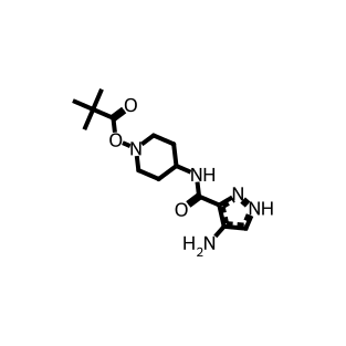 CC(C)(C)C(=O)ON1CCC(NC(=O)c2n[nH]cc2N)CC1